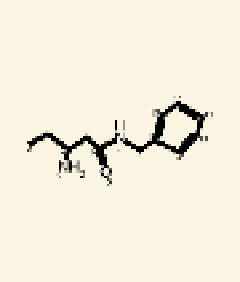 CCC(N)CC(=O)NCc1ccccc1